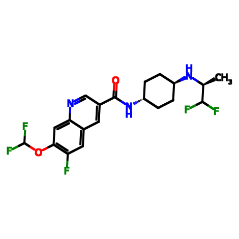 C[C@H](N[C@H]1CC[C@H](NC(=O)c2cnc3cc(OC(F)F)c(F)cc3c2)CC1)C(F)F